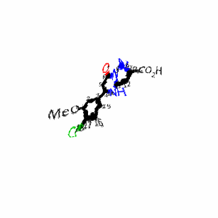 COc1cc(-c2cc(=O)n3nc(C(=O)O)cc3[nH]2)ccc1Cl